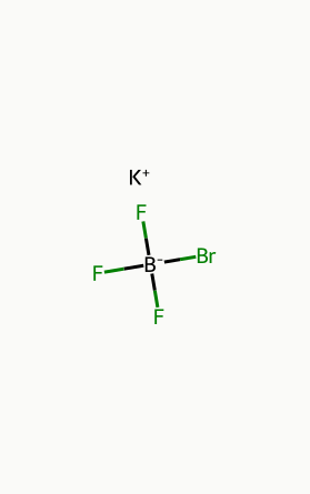 F[B-](F)(F)Br.[K+]